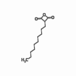 CCCCCCCCCCC1C(=O)OC1=O